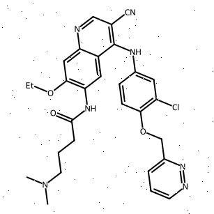 CCOc1cc2ncc(C#N)c(Nc3ccc(OCc4cccnn4)c(Cl)c3)c2cc1NC(=O)CCCN(C)C